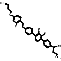 C=CCCOc1ccc(CCc2ccc(-c3ccc(-c4ccc(C(O)CCC)cc4)c(F)c3F)cc2)c(F)c1